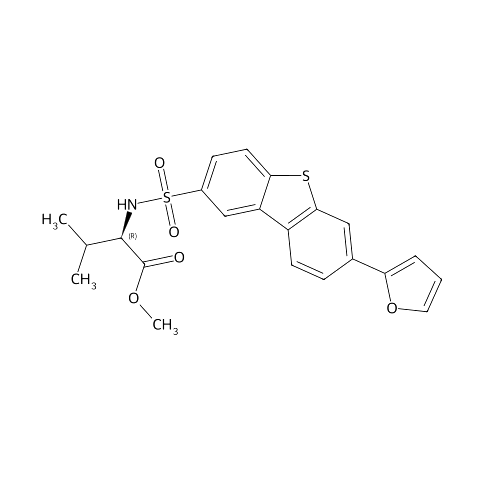 COC(=O)[C@H](NS(=O)(=O)c1ccc2sc3cc(-c4ccco4)ccc3c2c1)C(C)C